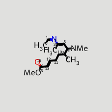 C/C=N\C(C)=C\C(NC)C(C)CC/C=C/C(=O)OC